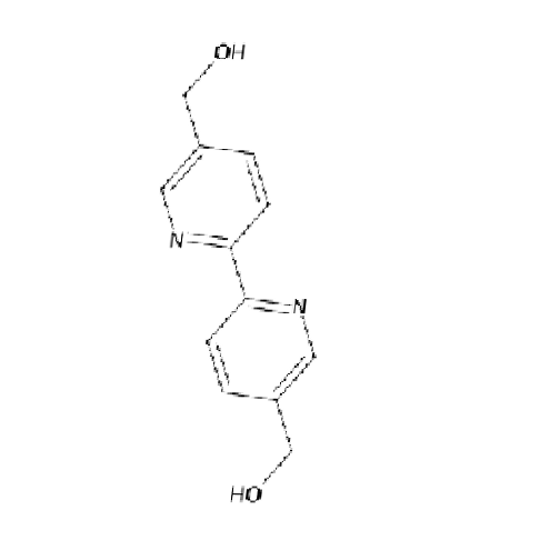 OCc1ccc(-c2ccc(CO)cn2)nc1